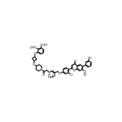 CCOc1cc2oc(-c3ccc(OC/C(=C/NCC(=O)N4CCC(OC5CC(Oc6cccc(C=O)c6C=O)C5)CC4)N=N)cc3Cl)cc(=O)c2cc1-c1cccc(C(C)=O)c1